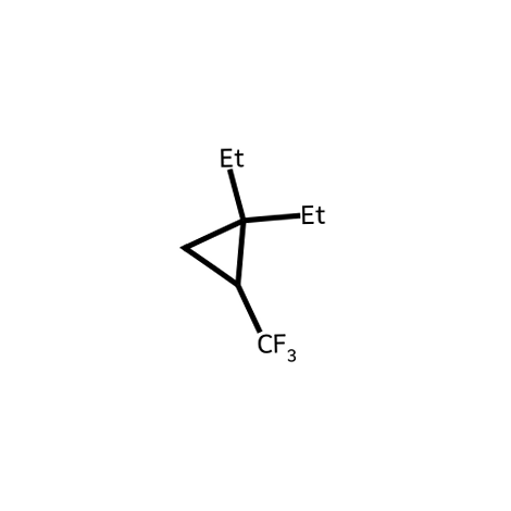 CCC1(CC)CC1C(F)(F)F